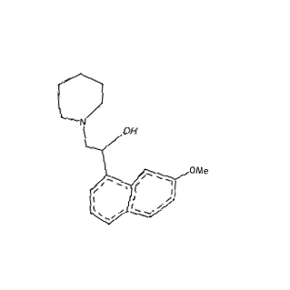 COc1ccc2cccc(C(O)CN3CCCCC3)c2c1